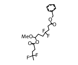 COC(CCC(F)(F)CCC(=O)OCc1ccccc1)OC(=O)CCC(C)(F)F